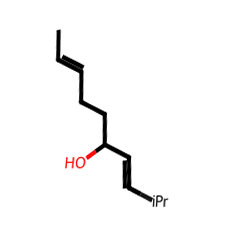 CC=CCCC(O)C=CC(C)C